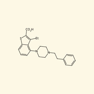 CCc1c(C(=O)O)sc2cccc(N3CCN(CCc4ccccc4)CC3)c12